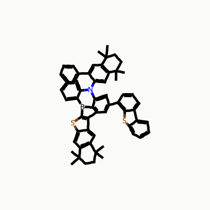 CC1(C)CCC(C)(C)c2cc(N3c4ccccc4B4c5sc6cc7c(cc6c5-c5cc(-c6cccc8c6sc6ccccc68)cc3c54)C(C)(C)CCC7(C)C)c(-c3ccccc3)cc21